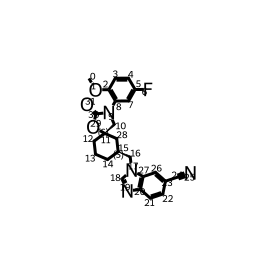 COc1ccc(F)cc1N1C[C@@]2(CCC[C@H](Cn3cnc4ccc(C#N)cc43)C2)OC1=O